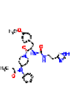 CCC(=O)N(c1ccccc1)C1CCN(C(=O)C(Cc2ccc(OC)cc2)NC(=O)NCCc2c[nH]cn2)CC1